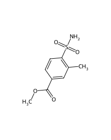 COC(=O)c1ccc(S(N)(=O)=O)c(C)c1